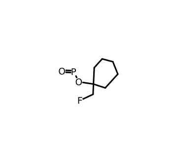 O=POC1(CF)CCCCC1